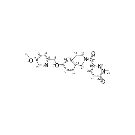 COc1ccc(COc2ccc3c(c2)CCN(C(=O)c2ccc(=O)n(C)n2)C3)nc1